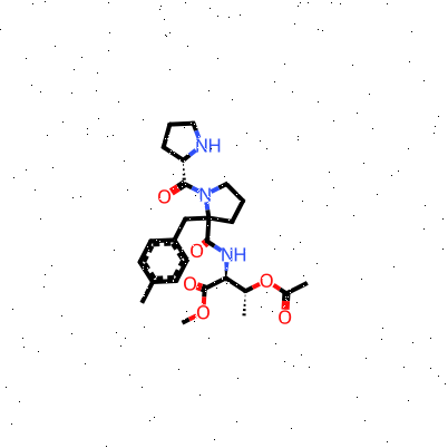 COC(=O)[C@@H](NC(=O)C1(Cc2ccc(C)cc2)CCCN1C(=O)[C@@H]1CCCN1)[C@@H](C)OC(C)=O